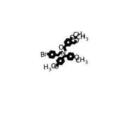 COc1ccc(C(c2ccc(OC)cc2)N(CCc2ccc(Br)cc2)CC(=O)c2ccc3c(c2)COC(C)(C)O3)cc1